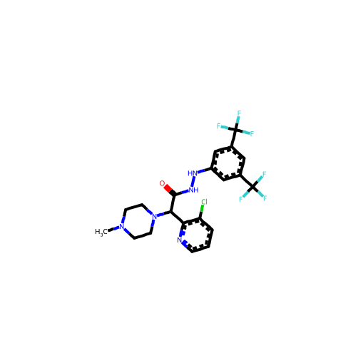 CN1CCN(C(C(=O)NNc2cc(C(F)(F)F)cc(C(F)(F)F)c2)c2ncccc2Cl)CC1